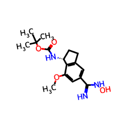 COc1cc(C(=N)NO)cc2c1[C@H](NC(=O)OC(C)(C)C)CC2